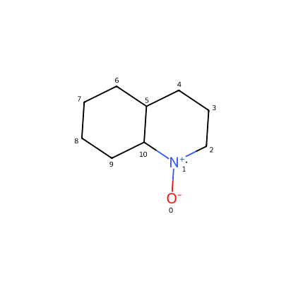 [O-][N+]1CCCC2CCCCC21